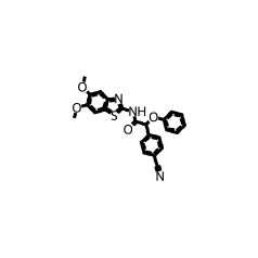 COc1cc2nc(NC(=O)C(Oc3ccccc3)c3ccc(C#N)cc3)sc2cc1OC